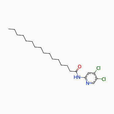 CCCCCCCCCCCCCCCC(=O)Nc1cc(Cl)c(Cl)cn1